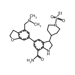 CCS(=O)(=O)N1CCC(C2CNc3c(C(N)=O)cc(-c4cc(CN(C)C)c5c(c4)OCC5)cc32)CC1